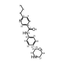 CCCc1ccc(C(=O)Nc2ccc([C@H]3CNCCO3)cc2)cn1